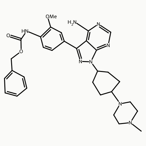 COc1cc(-c2nn(C3CCC(N4CCN(C)CC4)CC3)c3ncnc(N)c23)ccc1NC(=O)OCc1ccccc1